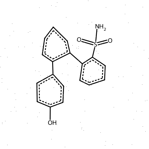 NS(=O)(=O)c1ccccc1-c1ccccc1-c1ccc(O)cc1